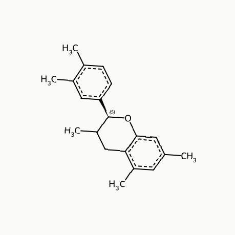 Cc1cc(C)c2c(c1)O[C@H](c1ccc(C)c(C)c1)C(C)C2